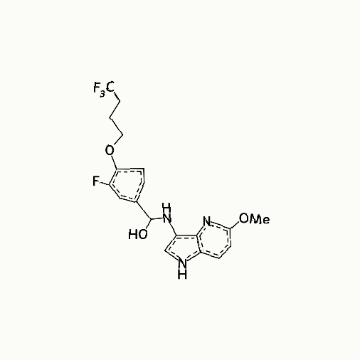 COc1ccc2[nH]cc(NC(O)c3ccc(OCCCC(F)(F)F)c(F)c3)c2n1